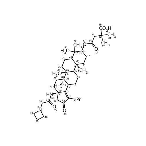 CC(C)C1=C2C3CCC4[C@@]5(C)CC[C@H](OC(=O)CC(C)(C)C(=O)O)C(C)(C)C5CC[C@@]4(C)[C@]3(C)CC[C@@]2(NC(=O)CN2CCC2)CC1=O